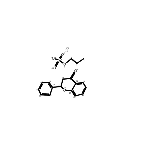 CCCOS(=O)(=O)[O-].O=C1CC(c2ccccc2)Oc2ccccc21.[K+]